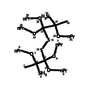 CCCOC(C)([SiH3])C(OCCC)(OCCC)SSC(OCCC)(OCCC)C(C)([SiH3])OCCC